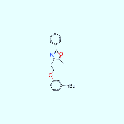 CCCCc1cccc(OCCc2nc(-c3ccccc3)oc2C)c1